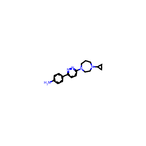 Nc1ccc(-c2ccc(N3CCCN(C4CC4)CC3)nn2)cc1